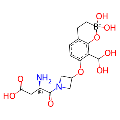 N[C@H](CC(=O)O)C(=O)N1CC(Oc2ccc3c(c2C(O)O)O[B-](O)(O)CC3)C1